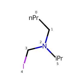 CCCCN(CI)C(C)C